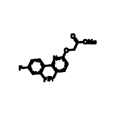 COC(=O)COc1ccc(C(C)C)c(-c2ccc(F)cc2F)n1